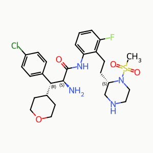 CS(=O)(=O)N1CCNC[C@@H]1CCc1c(F)cccc1NC(=O)[C@@H](N)[C@@H](c1ccc(Cl)cc1)C1CCOCC1